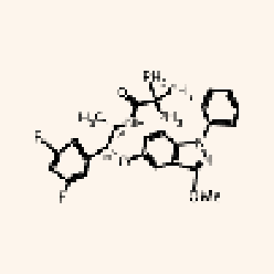 COc1nn(-c2ccccc2)c2ccc(O[C@H](c3cc(F)cc(F)c3)[C@H](C)NC(=O)C(C)(P)P)cc12